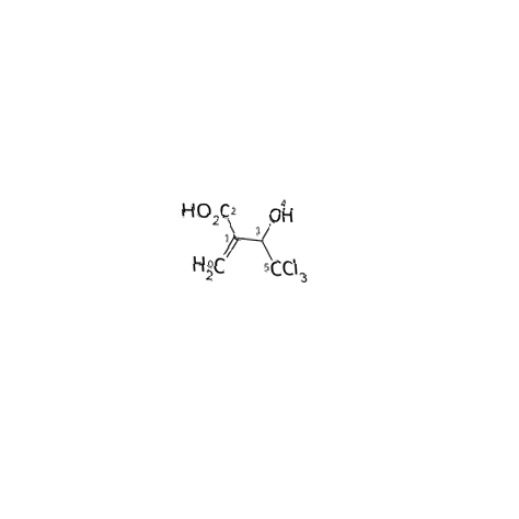 C=C(C(=O)O)C(O)C(Cl)(Cl)Cl